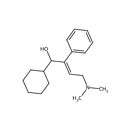 CN(C)C/C=C(\c1ccccc1)C(O)C1CCCCC1